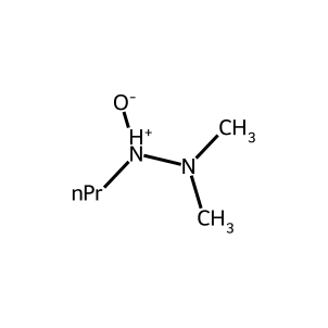 CCC[NH+]([O-])N(C)C